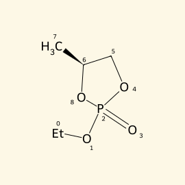 CCOP1(=O)OC[C@H](C)O1